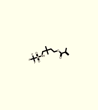 C=C(C)C(=O)OCCC(C)(C)CNS(=O)(=O)C(F)(F)F